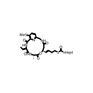 C/C=C1\NC(=O)c2nc(ccc2SC)CNC(=O)C[C@@H](/C=C/CCSC(=O)CCCCCCC)OC(=O)[C@H](C)NC1=O